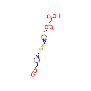 O=COCCC1CCN(CCSSCCN2CCC(CCOC(=O)CCC(=O)O)CC2)CC1